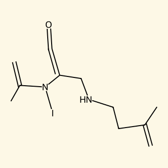 C=C(C)CCNCC(=C=O)N(I)C(=C)C